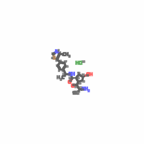 Cc1ncsc1-c1ccc([C@H](C)NC(=O)[C@@H]2C[C@@H](O)CC2C(=O)[C@@H](N)C(C)(C)C)cc1.Cl